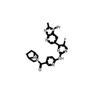 Cc1nc2ncc(-c3nc(Nc4ccc(C(=O)N5CC6CCC(C5)N6)cn4)ncc3F)cc2n1C(C)C